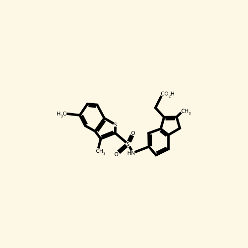 CC1=C(CC(=O)O)c2cc(NS(=O)(=O)c3sc4ccc(C)cc4c3C)ccc2C1